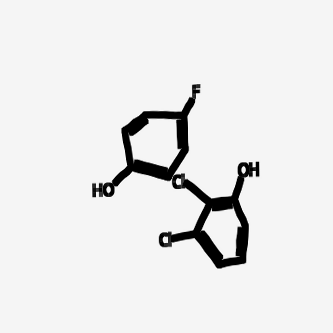 Oc1ccc(F)cc1.Oc1cccc(Cl)c1Cl